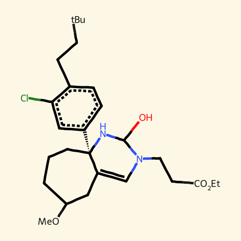 CCOC(=O)CCN1C=C2CC(OC)CCC[C@@]2(c2ccc(CCC(C)(C)C)c(Cl)c2)NC1O